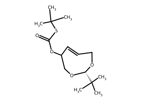 CC(C)(C)SC(=O)OC1/C=C/CO[C@H](C(C)(C)C)OC1